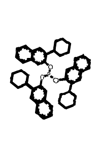 c1ccc2cc(C3CCCCC3)c(OP(Oc3cc4ccccc4cc3C3CCCCC3)Oc3cc4ccccc4cc3C3CCCCC3)cc2c1